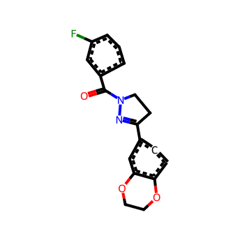 O=C(c1cccc(F)c1)N1CCC(c2ccc3c(c2)OCCO3)=N1